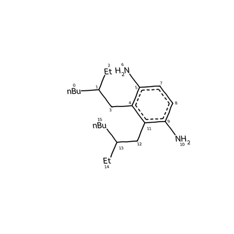 CCCCC(CC)Cc1c(N)ccc(N)c1CC(CC)CCCC